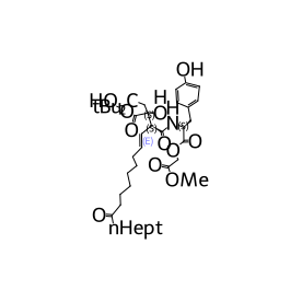 CCCCCCCC(=O)CCCCCC/C=C/[C@H](C(=O)N[C@@H](Cc1ccc(O)cc1)C(=O)OCC(=O)OC)[C@@](O)(CC(=O)O)C(=O)OC(C)(C)C